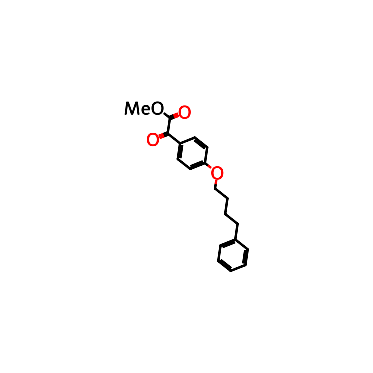 COC(=O)C(=O)c1ccc(OCCCCc2ccccc2)cc1